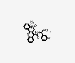 CCC(NC(=O)c1c(CS(C)(=O)=O)c(-c2ccccc2)nc2ccccc12)c1cccc(F)c1